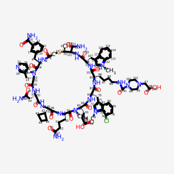 C[C@@H]1SCC(=O)N[C@H](Cc2cccc(C(N)=O)c2)C(=O)N(C)[C@@H](Cc2cccnc2)C(=O)N[C@@H](CC(N)=O)C(=O)N[C@@H](C2CCC2)C(=O)N[C@@H](CCCC(N)=O)C(=O)N(C)[C@@H](CCC(=O)O)C(=O)N[C@@H](Cc2cn(C)c3c(Cl)cccc23)C(=O)N[C@@H](CCCCNC(=O)N2CCN(CC(=O)O)CC2)C(=O)N[C@@H](Cc2cn(C)c3ccccc23)C(=O)NC1C(N)=O